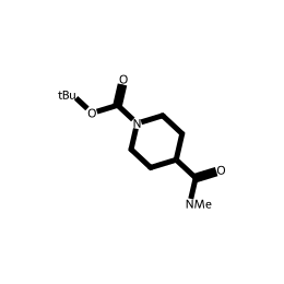 CNC(=O)C1CCN(C(=O)OC(C)(C)C)CC1